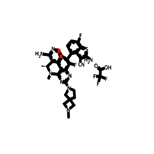 C[C@H](c1cccnc1N)N(C)c1nc(N2CCC3(CN(C)C3)C2)nc2c(F)c(-c3ccc(F)c4sc(N)c(C#N)c34)c(Cl)cc12.O=C(O)C(F)(F)F